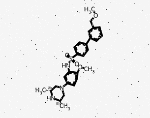 COCc1cccc(-c2ccc(S(=O)(=O)Nc3cc(N4C[C@@H](C)N[C@@H](C)C4)ccc3OC)cc2)c1